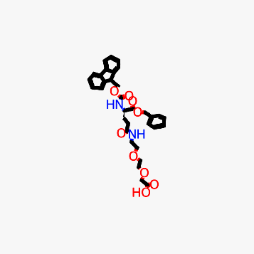 O=C(O)COCCOCCNC(=O)CC[C@H](NC(=O)OCC1c2ccccc2-c2ccccc21)C(=O)OCc1ccccc1